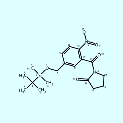 CC(C)(C)[Si](C)(C)OCc1ccc([N+](=O)[O-])c(C(=O)N2CCCC2=O)c1